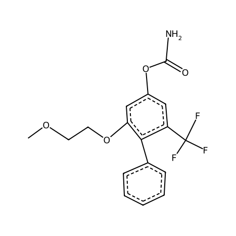 COCCOc1cc(OC(N)=O)cc(C(F)(F)F)c1-c1ccccc1